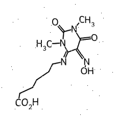 CN1C(=O)C(=N/O)/C(=N/CCCCCC(=O)O)N(C)C1=O